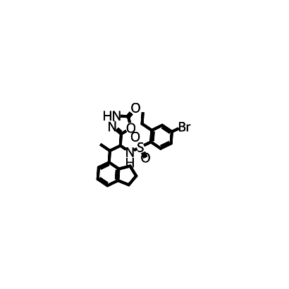 CCc1cc(Br)ccc1S(=O)(=O)NC(c1n[nH]c(=O)o1)C(C)c1cccc2c1CCC2